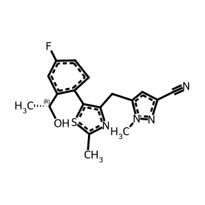 Cc1nc(Cc2cc(C#N)nn2C)c(-c2ccc(F)cc2[C@@H](C)O)s1